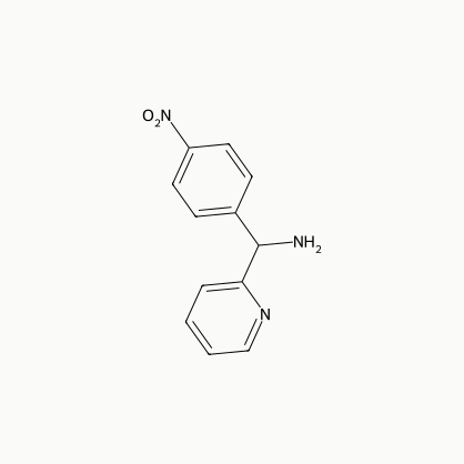 NC(c1ccc([N+](=O)[O-])cc1)c1ccccn1